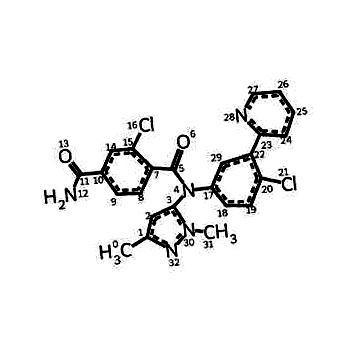 Cc1cc(N(C(=O)c2ccc(C(N)=O)cc2Cl)c2ccc(Cl)c(-c3ccccn3)c2)n(C)n1